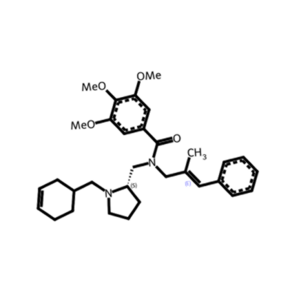 COc1cc(C(=O)N(C/C(C)=C/c2ccccc2)C[C@@H]2CCCN2CC2CC=CCC2)cc(OC)c1OC